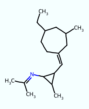 CCC1CC/C(=C\C2C(C)C2N=C(C)C)CC(C)C1